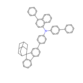 c1ccc(-c2ccc(N(c3ccc(-c4ccc5c(c4)C4(c6ccccc6-5)C5CC6CC(C5)CC4C6)cc3)c3ccc(-c4ccccc4)c4ccccc34)cc2)cc1